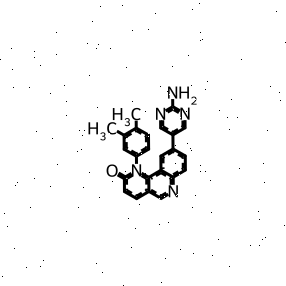 Cc1ccc(-n2c(=O)ccc3cnc4ccc(-c5cnc(N)nc5)cc4c32)cc1C